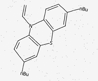 C=CN1c2ccc(CCCC)cc2Sc2cc(CCCC)ccc21